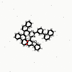 c1cc(-c2nc(-c3c(-c4cc5ccccc5c5ccccc45)ccc4ccccc34)nc(-c3cccc4c3oc3ccccc34)n2)cc(-c2cccc3ccccc23)c1